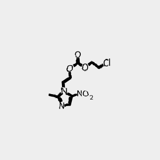 Cc1ncc([N+](=O)[O-])n1CCOC(=O)OCCCl